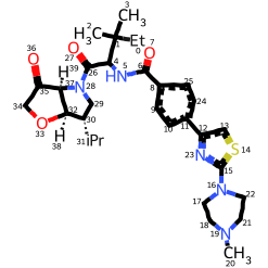 CCC(C)(C)C(NC(=O)c1ccc(-c2csc(N3CCN(C)CC3)n2)cc1)C(=O)N1C[C@H](C(C)C)[C@H]2OCC(=O)[C@H]21